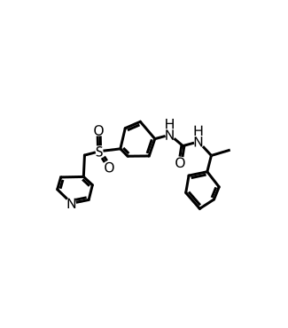 CC(NC(=O)Nc1ccc(S(=O)(=O)Cc2ccncc2)cc1)c1ccccc1